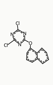 Clc1nc(Cl)nc(Oc2cccc3ccccc23)n1